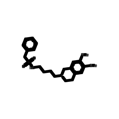 COc1cc2c(cc1OC)CN(CCCCNS(=O)(=O)Cc1ccccc1)CC2